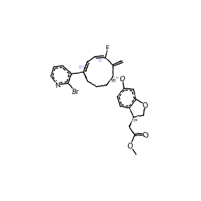 C=C1/C(F)=C\C=C(\c2cccnc2Br)CCC[C@H]1Oc1ccc2c(c1)OC[C@H]2CC(=O)OC